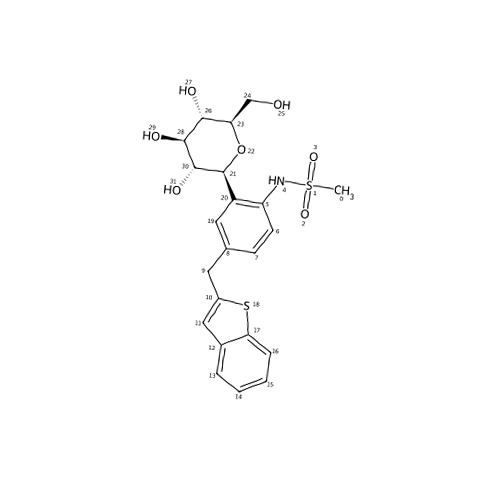 CS(=O)(=O)Nc1ccc(Cc2cc3ccccc3s2)cc1[C@@H]1O[C@H](CO)[C@@H](O)[C@H](O)[C@H]1O